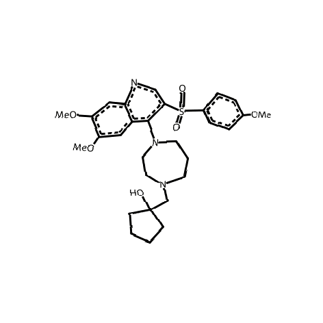 COc1ccc(S(=O)(=O)c2cnc3cc(OC)c(OC)cc3c2N2CCCN(CC3(O)CCCC3)CC2)cc1